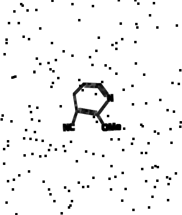 COC1=C(C#N)CC=C=N1